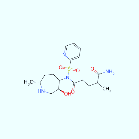 CC(C[CH]C(=O)N(C1CC[C@@H](C)NC[C@@H]1O)S(=O)(=O)c1ccccn1)C(N)=O